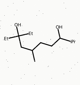 CCC(O)(CC)CC(C)CCC(O)C(C)C